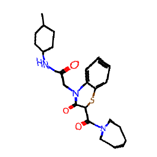 CC1CCC(NC(=O)CN2C(=O)C(C(=O)N3CCCCC3)Sc3ccccc32)CC1